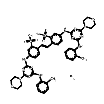 Cc1ccccc1Nc1nc(Nc2ccc(C=Cc3ccc(Nc4nc(Nc5ccccc5C)nc(N5CCOCC5)n4)cc3S(=O)(=O)O)c(S(=O)(=O)O)c2)nc(N2CCOCC2)n1.[K].[K]